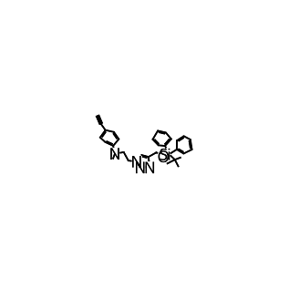 C#Cc1ccc(N(C)CCn2cc(CO[Si](c3ccccc3)(c3ccccc3)C(C)(C)C)nn2)cc1